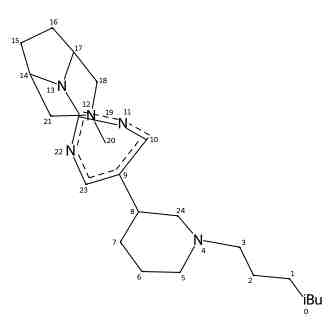 CCC(C)CCCN1CCCC(c2cnc(N3C4CCC3CN(C)C4)nc2)C1